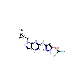 N#C[C@H]1C[C@@H]1Cn1ncc2ncc(Nc3cc(OC(F)F)[nH]n3)nc21